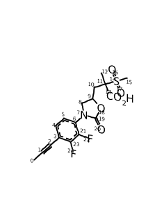 CC#Cc1ccc(N2CC(CC(C)(C(=O)O)S(C)(=O)=O)OC2=O)c(F)c1F